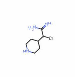 CC[C](C(=N)N)C1CCNCC1